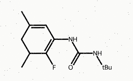 CC1=CC(NC(=O)NC(C)(C)C)=C(F)C(C)C1